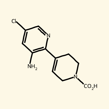 Nc1cc(Cl)cnc1C1=CCN(C(=O)O)CC1